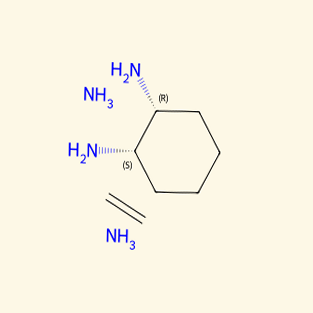 C=C.N.N.N[C@@H]1CCCC[C@@H]1N